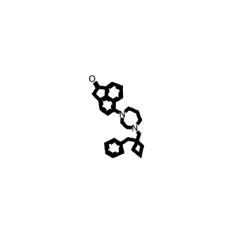 O=C1Cc2ccc(N3CCCN(CC4(Cc5ccccc5)CCC4)CC3)c3cccc1c23